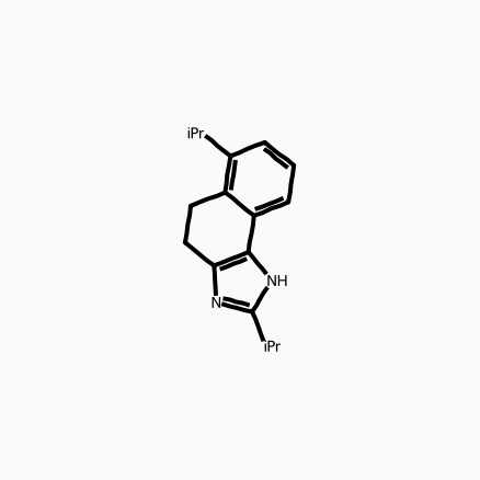 CC(C)c1nc2c([nH]1)-c1cccc(C(C)C)c1CC2